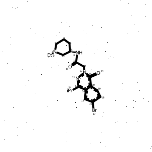 CCN1CCC[C@@H](NC(=O)Cn2nc(C(C)C)c3cc(Br)ccc3c2=O)C1